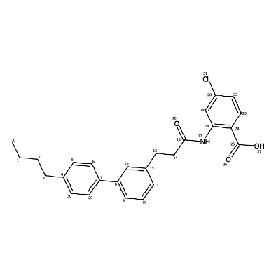 CCCCc1ccc(-c2cccc(CCC(=O)Nc3cc(Cl)ccc3C(=O)O)c2)cc1